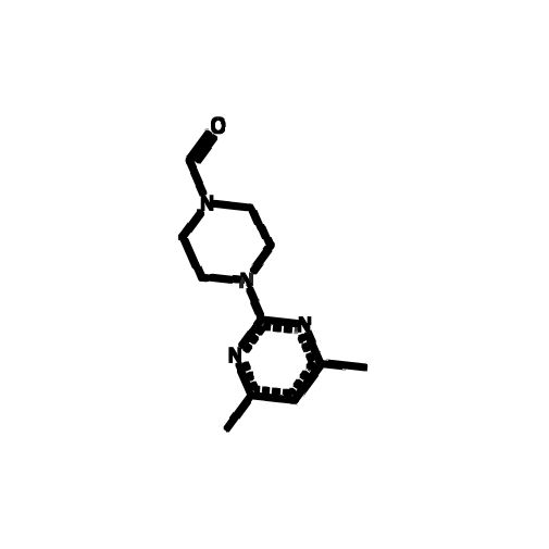 Cc1cc(C)nc(N2CCN(C=O)CC2)n1